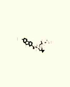 COC(=O)N[C@H](C(=O)N1CC2(CC2)C[C@@H]1c1ncc(-c2ccc3c(c2)C(F)(F)c2cc(Br)ccc2-3)[nH]1)C(C)C